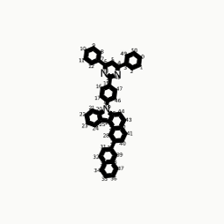 c1ccc(-c2cc(-c3ccccc3)nc(-c3ccc(-n4c5ccccc5c5c6cc(-c7ccc8ccccc8c7)ccc6ccc54)cc3)n2)cc1